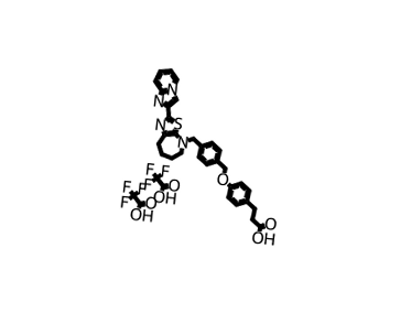 O=C(O)C(F)(F)F.O=C(O)C(F)(F)F.O=C(O)CCc1ccc(OCc2ccc(CN3CCCCc4nc(-c5cn6ccccc6n5)sc43)cc2)cc1